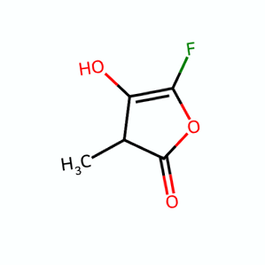 CC1C(=O)OC(F)=C1O